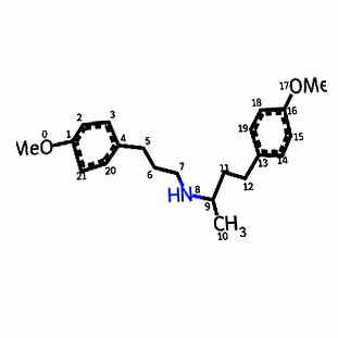 COc1ccc(CCCNC(C)CCc2ccc(OC)cc2)cc1